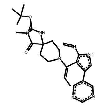 C=Nc1[nH]cc(-c2cncnc2)c1/C(=C\C)N1CCC(NC(=O)OC(C)(C)C)(C(=O)N(C)C)CC1